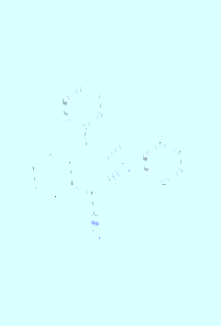 N#CC(C#N)=C1CCCCC1C(/C=C/c1ccccc1)c1ccccc1